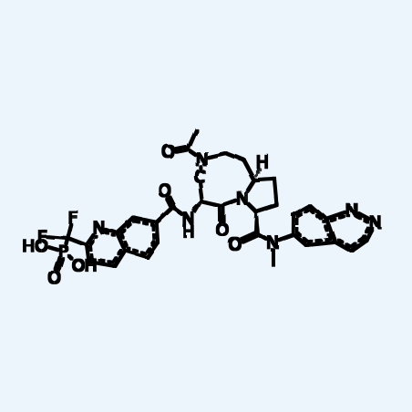 CC(=O)N1CC[C@H]2CC[C@@H](C(=O)N(C)c3ccc4nnccc4c3)N2C(=O)[C@@H](NC(=O)c2ccc3ccc(C(F)(F)P(=O)(O)O)nc3c2)C1